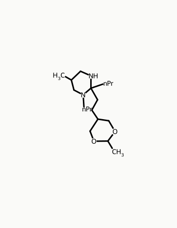 CCCN1CC(C)CNC1(CCC)CCC1COC(C)OC1